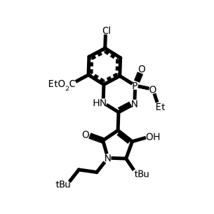 CCOC(=O)c1cc(Cl)cc2c1NC(C1=C(O)C(C(C)(C)C)N(CCC(C)(C)C)C1=O)=NP2(=O)OCC